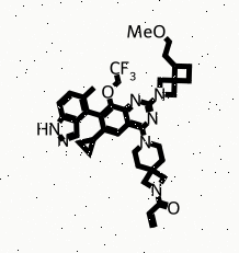 C=CC(=O)N1CC2(CCN(c3nc(N4CC5(CCC5CCOC)C4)nc4c(OCC(F)(F)F)c(-c5c(C)ccc6[nH]ncc56)c(C5CC5)cc34)CC2)C1